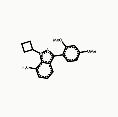 COc1ccc(-c2nn(C3CCC3)c3c(C(F)(F)F)cccc23)c(OC)c1